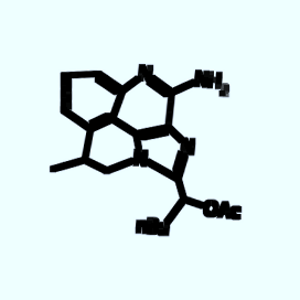 CCCCC(OC(C)=O)c1nc2c(N)nc3cccc4c3c2n1CC4C